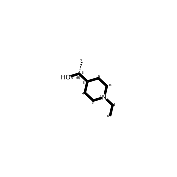 CCN1CCC([C@@H](C)O)CC1